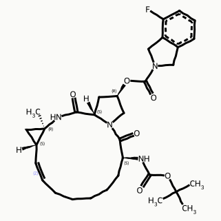 CC(C)(C)OC(=O)N[C@H]1CCCCC/C=C\[C@@H]2C[C@@]2(C)NC(=O)[C@@H]2C[C@@H](OC(=O)N3Cc4cccc(F)c4C3)CN2C1=O